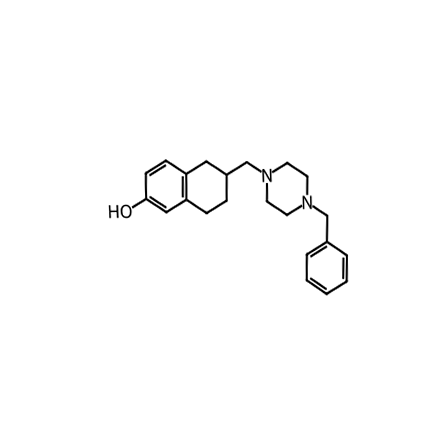 Oc1ccc2c(c1)CCC(CN1CCN(Cc3ccccc3)CC1)C2